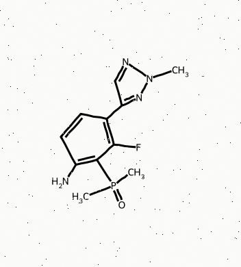 Cn1ncc(-c2ccc(N)c(P(C)(C)=O)c2F)n1